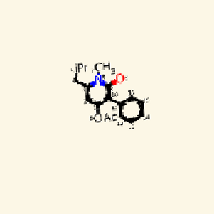 CC(=O)Oc1cc(CC(C)C)n(C)c(=O)c1-c1ccccc1